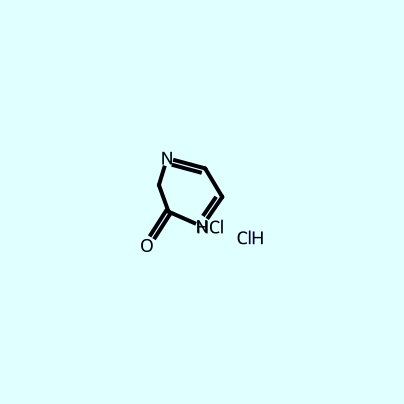 Cl.Cl.O=C1CN=CC=N1